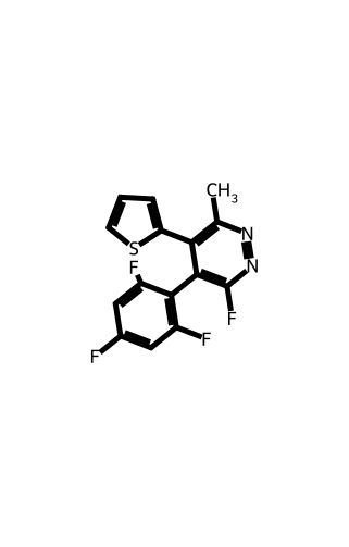 Cc1nnc(F)c(-c2c(F)cc(F)cc2F)c1-c1cccs1